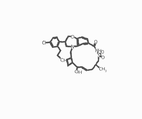 CCCc1cc(Cl)ccc1C1COc2ccc3cc2N(C1)CC1CCC1C(O)/C=C/CC(C)CS(=O)(=O)NC3=O